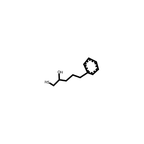 OC(CS)CCCc1ccccc1